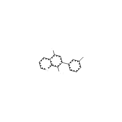 Oc1c(-c2cccc(I)c2)cc(Cl)c2cccnc12